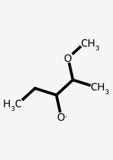 CCC([O])C(C)OC